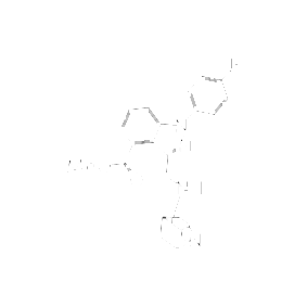 COC(=O)c1cccc2c1c(CNC1CN3CCC1CC3)nn2-c1ccc(F)cc1